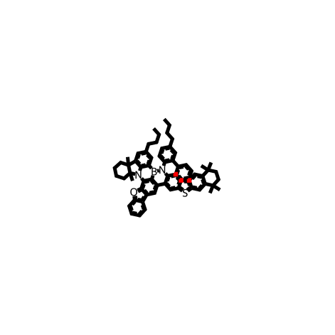 CCCCc1ccc(N2B3c4cc(CCCC)cc5c4N(c4c3c(cc3c4oc4ccccc43)-c3cc4sc6cc7c(cc6c4cc32)C(C)(C)CCC7(C)C)C2(C)CCCCC52C)c(-c2ccccc2)c1